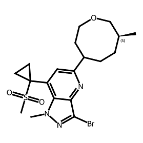 C[C@H]1CCC(c2cc(C3(S(C)(=O)=O)CC3)c3c(n2)c(Br)nn3C)CCOC1